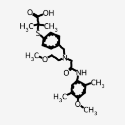 COCCN(CC(=O)Nc1cc(C)c(OC)cc1C)Cc1ccc(SC(C)(C)C(=O)O)cc1